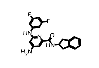 Nc1cc(Nc2cc(F)cc(F)c2)nc(C(=O)NC2Cc3ccccc3C2)c1